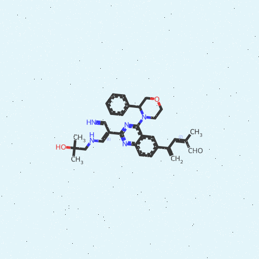 C=C(/C=C(/C)C=O)c1ccc2nc(/C(C=N)=C/NCC(C)(C)O)nc(N3CCOCC3c3ccccc3)c2c1